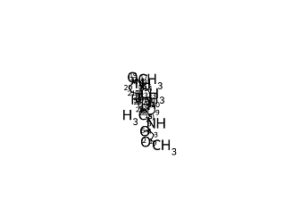 CC(=O)CC(=O)NC[C@H]1CC[C@H]2[C@@H]3CC[C@H]4N(C)C(=O)CC[C@]4(C)[C@H]3CC[C@]12C